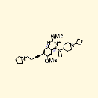 C=N/C(NC1CCN(C2CCC2)CC1)=C1/C=C(OC)C(C#CCCN2CCCC2)=C/C1=N/CNC